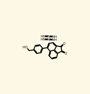 N=[N+]=N.N=[N+]=N.O=C1C(=O)c2ccc(-c3ccc(CO)cc3)c3cccc1c23